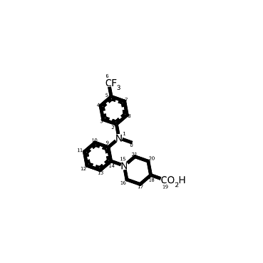 CN(c1ccc(C(F)(F)F)cc1)c1ccccc1N1CCC(C(=O)O)CC1